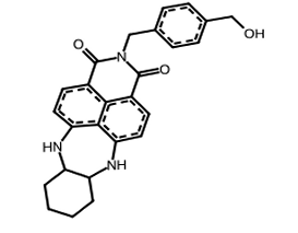 O=C1c2ccc3c4c(ccc(c24)C(=O)N1Cc1ccc(CO)cc1)NC1CCCCC1N3